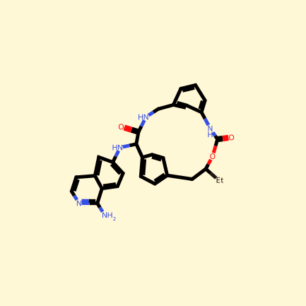 CCC1Cc2ccc(cc2)C(Nc2ccc3c(N)nccc3c2)C(=O)NCc2cccc(c2)NC(=O)O1